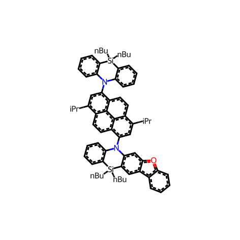 CCCC[Si]1(CCCC)c2ccccc2N(c2cc(C(C)C)c3ccc4c(N5c6ccccc6[Si](CCCC)(CCCC)c6cc7c(cc65)oc5ccccc57)cc(C(C)C)c5ccc2c3c54)c2ccccc21